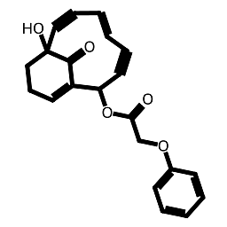 O=C(COc1ccccc1)OC1C#C/C=C/C#CC2(O)CCC=C1C2=O